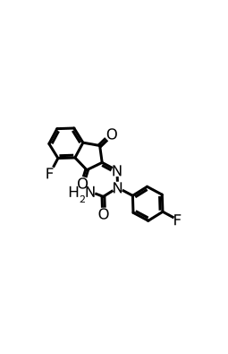 NC(=O)N(/N=c1/c(=O)c2cccc(F)c2c1=O)c1ccc(F)cc1